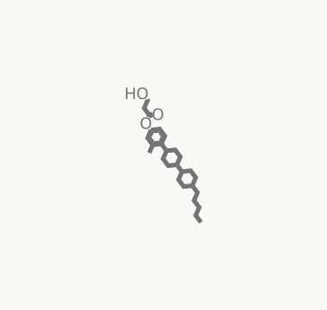 CCCCCC1CCC(C2CCC(c3ccc(OC(=O)CCO)cc3C)CC2)CC1